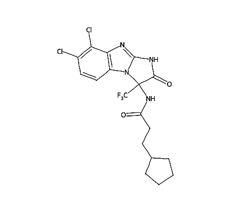 O=C(CCC1CCCC1)NC1(C(F)(F)F)C(=O)Nc2nc3c(Cl)c(Cl)ccc3n21